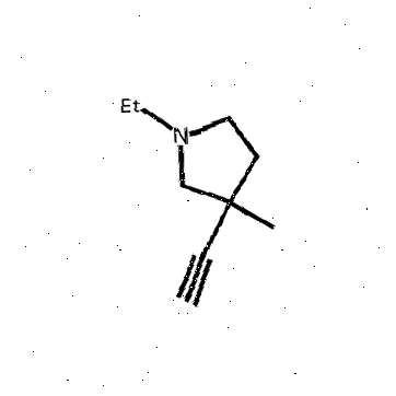 C#CC1(C)CCN(CC)C1